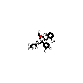 COc1ccccc1CN(C(=O)O)[C@](CCC=O)(CN(C)C(=O)CC(F)(F)F)c1ccc(Cl)c(Cl)c1